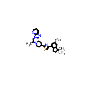 C=C(Cn1cnc2cccnc21)N1CCC(c2nc(-c3cc(C(C)(C)C)cc4c3CCC4(C)C)cs2)CC1